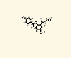 COCNC(=O)c1cc(O)cc2cc(-c3ccc(O)cc3)oc12